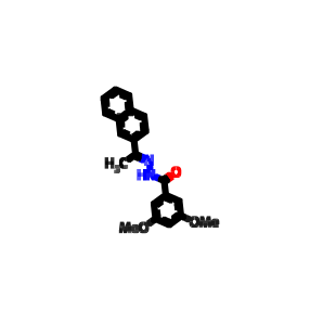 COc1cc(OC)cc(C(=O)NN=C(C)c2ccc3ccccc3c2)c1